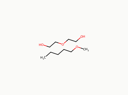 CCCCCOC.OCCOCCO